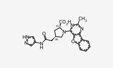 Cc1nc(N2C[C@@H](CC(=O)Nc3cn[nH]c3)C[C@H]2C(=O)O)c2oc3ccccc3c2n1